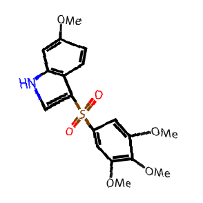 COc1ccc2c(S(=O)(=O)c3cc(OC)c(OC)c(OC)c3)c[nH]c2c1